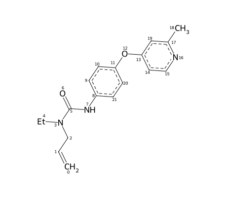 C=CCN(CC)C(=O)Nc1ccc(Oc2ccnc(C)c2)cc1